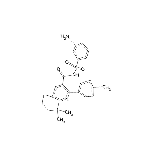 Cc1ccc(-c2nc3c(cc2C(=O)NS(=O)(=O)c2cccc(N)c2)CCCC3(C)C)cc1